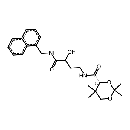 CC1(C)OCC(C)(C)[C@H](C(=O)NCCC(O)C(=O)NCc2cccc3ccccc23)O1